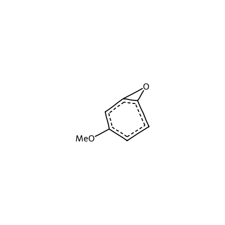 COc1ccc2c(c1)O2